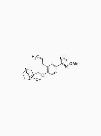 C=CCc1cc(/C(C)=N/OC)ccc1OCC1(O)CN2CCC1CC2